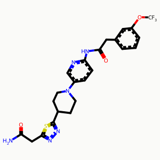 NC(=O)Cc1nnc(C2CCN(c3ccc(NC(=O)Cc4cccc(OC(F)(F)F)c4)nc3)CC2)s1